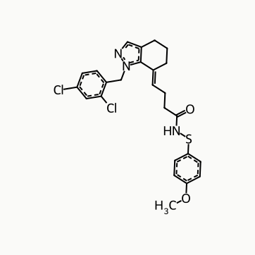 COc1ccc(SNC(=O)CC/C=C2\CCCc3cnn(Cc4ccc(Cl)cc4Cl)c32)cc1